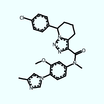 COc1cc(N(C)C(=O)c2nnn3c2CCCC3c2ccc(Cl)cc2)ccc1-n1cnc(C)c1